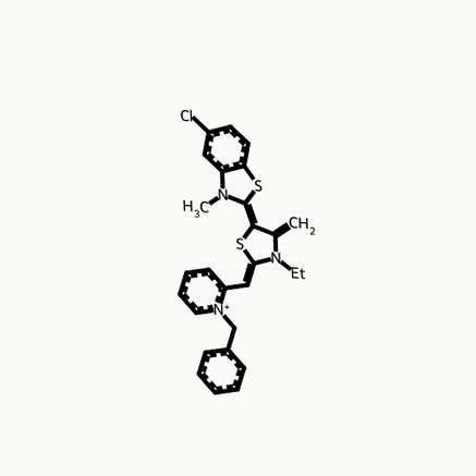 C=C1/C(=C2\Sc3ccc(Cl)cc3N2C)S/C(=C\c2cccc[n+]2Cc2ccccc2)N1CC